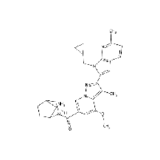 COc1cc(C(=O)N2CC3CCC2[C@@H]3N)cn2nc(-c3cc4ccc(C)nc4n3CC3CC3)c(C)c12